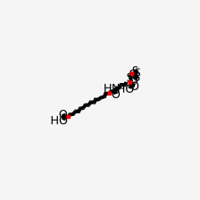 O=C(O)CCCCCCCCCCCCCCCCCCC(=O)NCCCC[C@@H](C(=O)O)C1SSC2(SS1)SS2